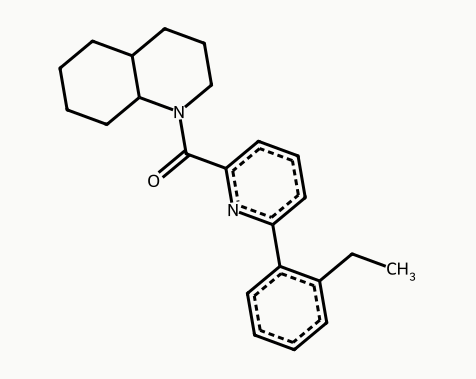 CCc1ccccc1-c1cccc(C(=O)N2CCCC3CCCCC32)n1